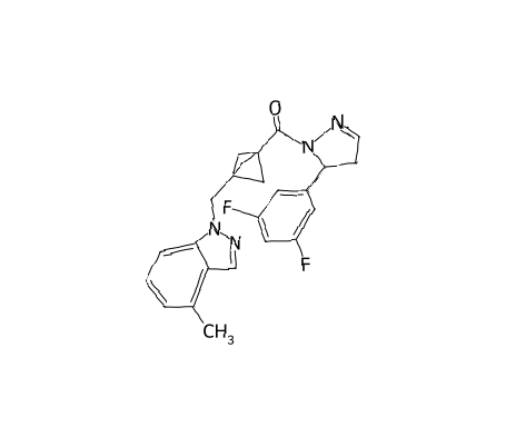 Cc1cccc2c1cnn2CC12CC(C(=O)N3N=CCC3c3cc(F)cc(F)c3)(C1)C2